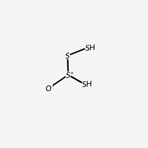 [O-][S+](S)SS